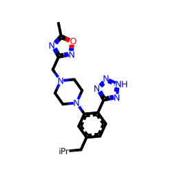 Cc1nc(CN2CCN(c3cc(CC(C)C)ccc3-c3nn[nH]n3)CC2)no1